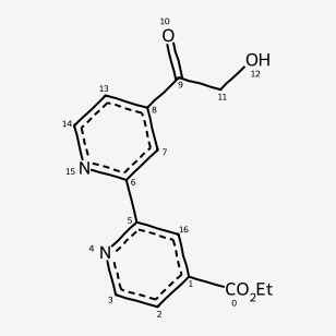 CCOC(=O)c1ccnc(-c2cc(C(=O)CO)ccn2)c1